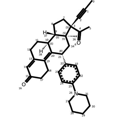 CC#C[C@]1(C(C)=O)CC[C@H]2[C@@H]3CCC4=CC(=O)CCC4=C3[C@@H](c3ccc(N4CCCCC4)cc3)C[C@@]21C